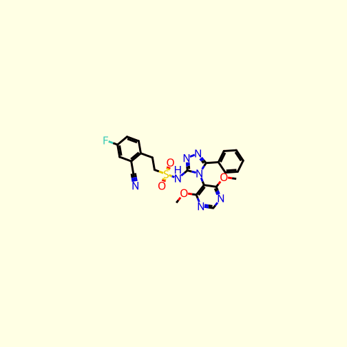 COc1ncnc(OC)c1-n1c(NS(=O)(=O)CCc2ccc(F)cc2C#N)nnc1-c1ccccc1